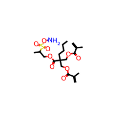 C=C(C)C(=O)OCC(CCCC)(COC(=O)C(=C)C)C(=O)OCC(C)S(=O)(=O)ON